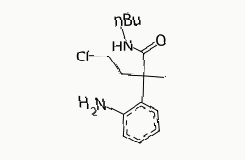 CCCCNC(=O)C(C)(CCCl)c1ccccc1N